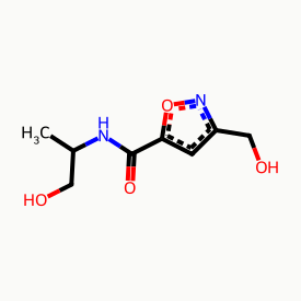 CC(CO)NC(=O)c1cc(CO)no1